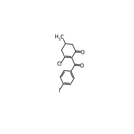 CC1CC(=O)C(C(=O)c2ccc(I)cc2)=C(Cl)C1